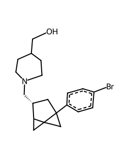 OCC1CCN(C[C@@H]2CC3(c4ccc(Br)cc4)CC34CC24)CC1